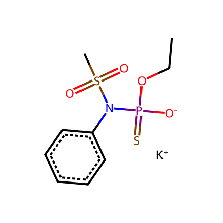 CCOP([O-])(=S)N(c1ccccc1)S(C)(=O)=O.[K+]